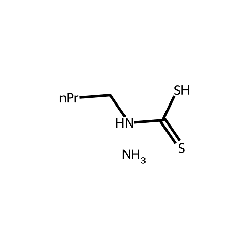 CCCCNC(=S)S.N